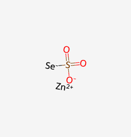 O=S(=O)([O-])[Se-].[Zn+2]